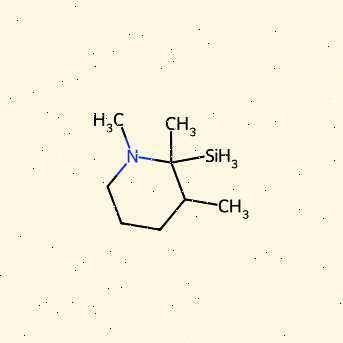 CC1CCCN(C)C1(C)[SiH3]